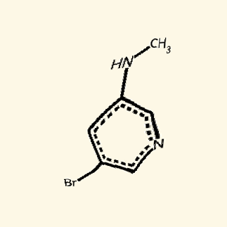 CNc1cncc(Br)c1